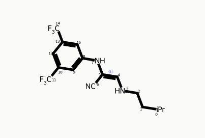 CC(C)CCN/C=C(\C#N)Nc1cc(C(F)(F)F)cc(C(F)(F)F)c1